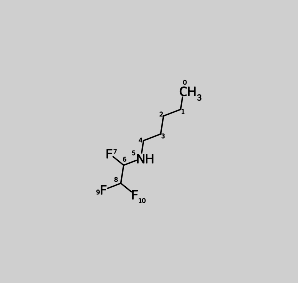 CCCCCNC(F)C(F)F